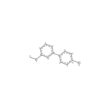 [CH2]Oc1cccc(-c2ccc(Cl)cc2)c1